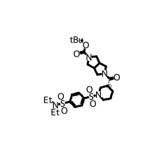 CCN(CC)S(=O)(=O)c1ccc(S(=O)(=O)N2CCC[C@@H](C(=O)N3CC4CN(C(=O)OC(C)(C)C)CC4C3)C2)cc1